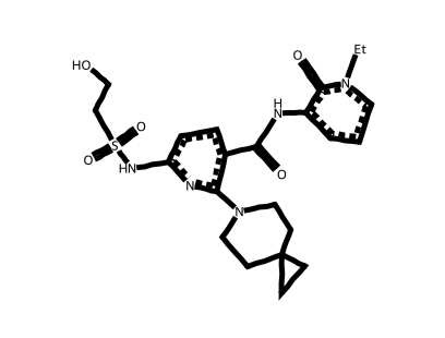 CCn1cccc(NC(=O)c2ccc(NS(=O)(=O)CCO)nc2N2CCC3(CC2)CC3)c1=O